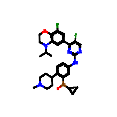 CC(C)N1CCOc2c(F)cc(-c3nc(Nc4ccc(C5CCN(C)CC5)c([S+]([O-])C5CC5)c4)ncc3F)cc21